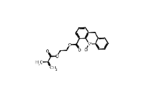 C=C(C)C(=O)OCCOC(=O)c1cccc2c1[S+]([O-])c1ccccc1C2